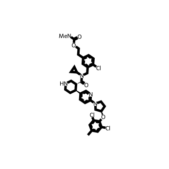 CNC(=O)OCCc1ccc(Cl)c(CN(C(=O)[C@H]2CNCC[C@@H]2c2ccc(N3CC[C@@H](Oc4c(Cl)cc(C)cc4Cl)C3)nc2)C2CC2)c1